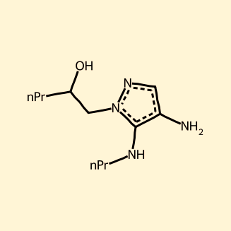 CCCNc1c(N)cnn1CC(O)CCC